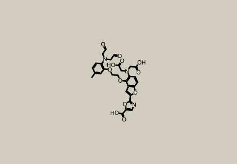 Cc1ccc(N(CC=O)CC=O)c(OCCOc2c(N(CC(=O)O)CC(=O)O)ccc3oc(-c4ncc(C(=O)O)o4)cc23)c1